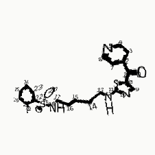 O=C(c1ccncc1)c1cnc(NCCCCCNS(=O)(=O)c2ccccc2F)s1